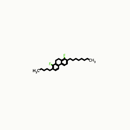 CCCCCCCCc1ccc2c(c1F)CCc1c-2ccc(CCCCC)c1F